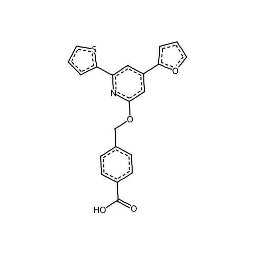 O=C(O)c1ccc(COc2cc(-c3ccco3)cc(-c3cccs3)n2)cc1